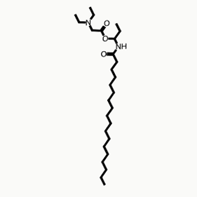 CCCCCCCCCCCCCCCCCC(=O)NC(CC)OC(=O)CN(CC)CC